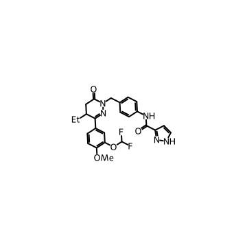 CCC1CC(=O)N(Cc2ccc(NC(=O)c3cc[nH]n3)cc2)N=C1c1ccc(OC)c(OC(F)F)c1